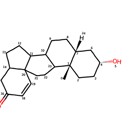 C[C@]12CC[C@@H](O)C[C@H]1CCC1C3CCC4CC(=O)C=CC43CCC12